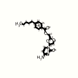 CCCCCC12CCC(C(=O)OCC3OCC(n4ccc(N)nc4=O)O3)(CC1)CC2